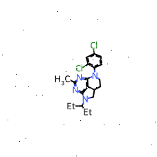 CCC(CC)N1CC2CCN(c3ccc(Cl)cc3Cl)c3nc(C)nc1c32